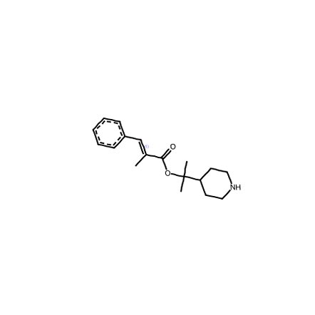 C/C(=C\c1ccccc1)C(=O)OC(C)(C)C1CCNCC1